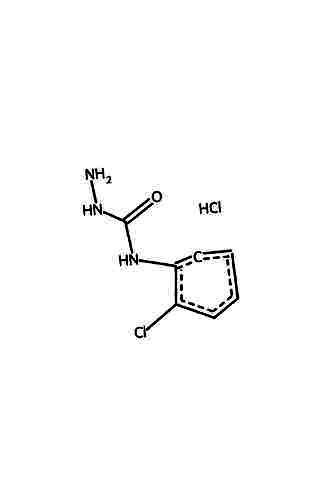 Cl.NNC(=O)Nc1ccccc1Cl